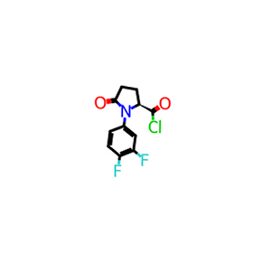 O=C(Cl)[C@@H]1CCC(=O)N1c1ccc(F)c(F)c1